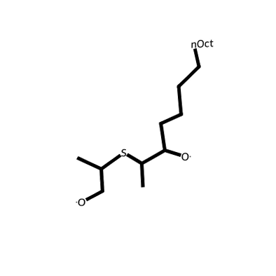 CCCCCCCCCCCCC([O])C(C)SC(C)C[O]